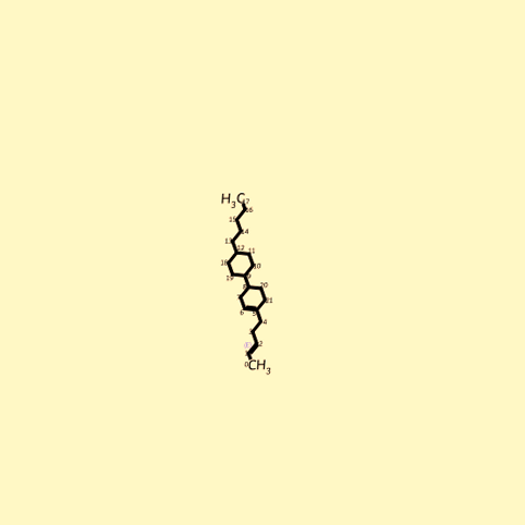 C/C=C/CCC1=CCC(C2CCC(CCCCC)CC2)CC1